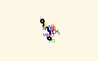 CN1C(C(=O)Nc2ccc(F)c(Cl)c2)=CC(c2ncc(-c3ccc(F)cc3)s2)=NS1(=O)=O